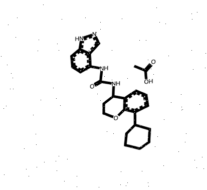 CC(=O)O.O=C(Nc1cccc2[nH]ncc12)NC1CCOc2c(C3CCCCC3)cccc21